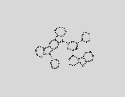 c1ccc(-c2cc(-n3c4ccccc4c4cc5c6ccccc6n(-c6ccccc6)c5cc43)nc(-c3cccc4oc5ccccc5c34)n2)cc1